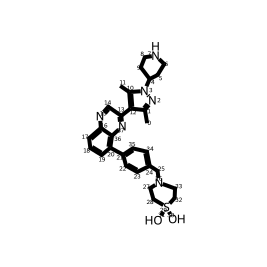 Cc1nn(C2CCNCC2)c(C)c1-c1cnc2cccc(-c3ccc(CN4CCS(O)(O)CC4)cc3)c2n1